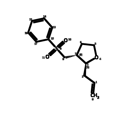 C=CC[C@@H]1OCC[C@H]1CS(=O)(=O)c1ccccc1